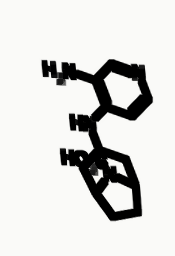 Nc1cnccc1NC1CC2CCC(C1)N2C(=O)O